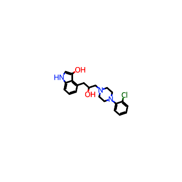 Oc1c[nH]c2cccc(CC(O)CN3CCN(c4ccccc4Cl)CC3)c12